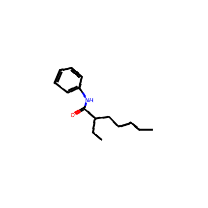 CCCCCC(CC)C(=O)Nc1ccccc1